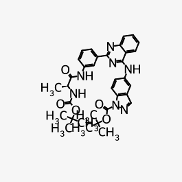 C[C@H](NC(=O)OC(C)(C)C)C(=O)Nc1cccc(-c2nc(Nc3ccc4c(cnn4C(=O)OC(C)(C)C)c3)c3ccccc3n2)c1